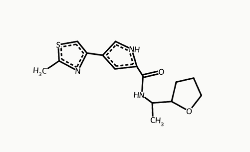 Cc1nc(-c2c[nH]c(C(=O)NC(C)C3CCCO3)c2)cs1